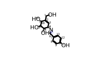 OCC1=C[C@H](/N=C/c2ccc(O)cc2)[C@H](O)C(O)[C@@H]1O